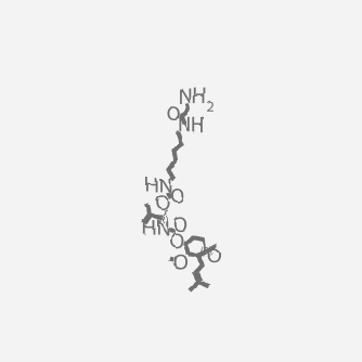 COC1C(OC(=O)N[C@@H](COC(=O)NCCCCCCNC(=O)CN)C(C)C)CC[C@]2(CO2)C1CC=C(C)C